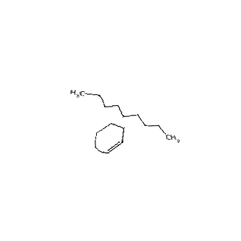 C1=CCCCC1.CCCCCCCCC